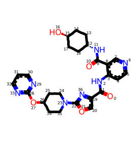 O=C(Nc1ccncc1C(=O)N[C@H]1CC[C@H](O)CC1)c1coc(N2CCC(Oc3ncccn3)CC2)n1